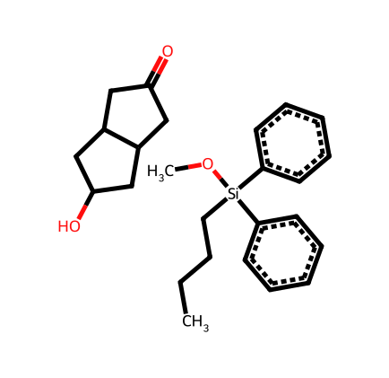 CCCC[Si](OC)(c1ccccc1)c1ccccc1.O=C1CC2CC(O)CC2C1